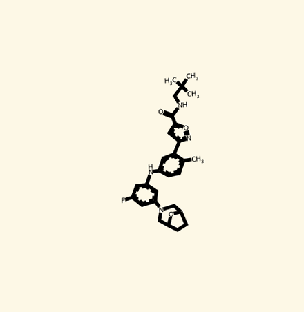 Cc1ccc(Nc2cc(F)cc(N3CC4CCC(C3)O4)c2)cc1-c1cc(C(=O)NCC(C)(C)C)on1